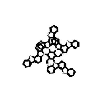 N=Cc1c(-n2c3ccccc3c3c4oc5ccccc5c4ccc32)c(C=N)c(-n2c3ccccc3c3c4oc5ccccc5c4ccc32)c(-n2c3ccccc3c3c4oc5ccccc5c4ccc32)c1-n1c2ccccc2c2c3oc4ccccc4c3ccc21